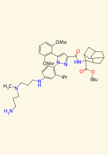 COc1cccc(OC)c1-c1cc(C(=O)NC2(C(=O)OC(C)(C)C)C3CC4CC(C3)CC2C4)nn1-c1ccc(NCCCN(C)CCCN)cc1C(C)C